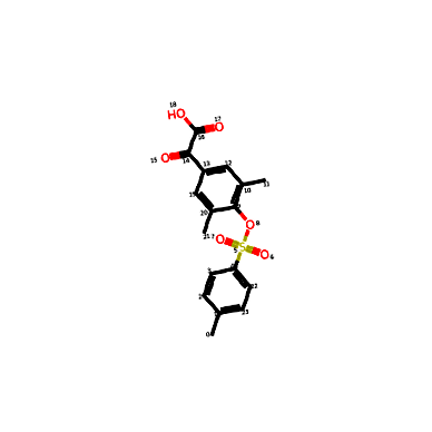 Cc1ccc(S(=O)(=O)Oc2c(C)cc(C(=O)C(=O)O)cc2C)cc1